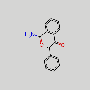 NC(=O)c1ccccc1C(=O)[CH]c1ccccc1